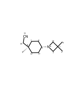 CC1(C)CN([C@H]2CC[C@](C)(CC#N)CC2)C1